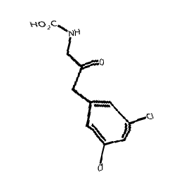 O=C(CNC(=O)O)Cc1cc(Cl)cc(Cl)c1